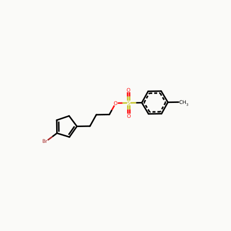 Cc1ccc(S(=O)(=O)OCCCC2=CC(Br)=CC2)cc1